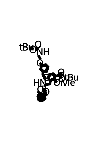 COc1c(CC(NC(=O)Cc2cccc(OCCNC(=O)OC(C)(C)C)c2)B2OC3CC4CC(C4(C)C)C3(C)O2)cccc1C(=O)OC(C)(C)C